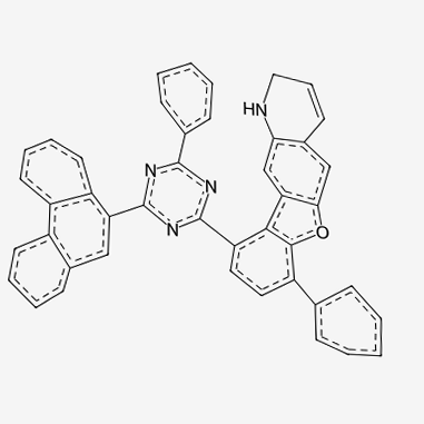 C1=Cc2cc3oc4c(-c5ccccc5)ccc(-c5nc(-c6ccccc6)nc(-c6cc7ccccc7c7ccccc67)n5)c4c3cc2NC1